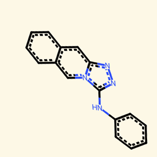 c1ccc(Nc2nnc3cc4ccccc4cn23)cc1